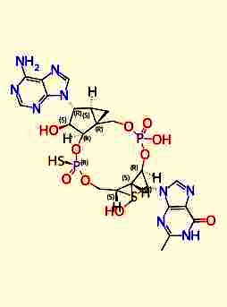 Cc1nc2c(ncn2[C@@H]2S[C@@H]3CO[P@@](=O)(S)O[C@H]4[C@@H](O)[C@H](n5cnc6c(N)ncnc65)[C@H]5C[C@]54COP(=O)(O)O[C@@H]2[C@@H]3CO)c(=O)[nH]1